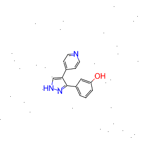 Oc1cccc(-c2n[nH]cc2-c2ccncc2)c1